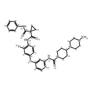 CN1CCN(C2CCN(C(=O)Nc3cc(Oc4ccc(NC(=O)C5(C(=O)Nc6ccccc6)CC5)c(F)c4)ccn3)CC2)CC1